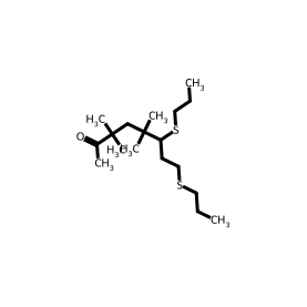 CCCSCCC(SCCC)C(C)(C)CC(C)(C)C(C)=O